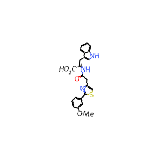 COc1cccc(-c2nc(CC(=O)N[C@@H](Cc3c[nH]c4ccccc34)C(=O)O)cs2)c1